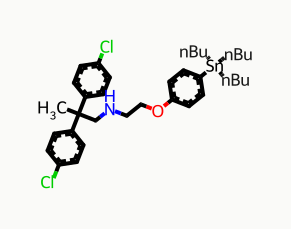 CCC[CH2][Sn]([CH2]CCC)([CH2]CCC)[c]1ccc(OCCNCC(C)(c2ccc(Cl)cc2)c2ccc(Cl)cc2)cc1